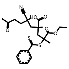 CCOC(=O)C(C)(CC(C)(CC(C)(C#N)CCC(C)=O)C(=O)O)SC(=S)c1ccccc1